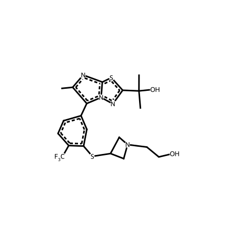 Cc1nc2sc(C(C)(C)O)nn2c1-c1ccc(C(F)(F)F)c(SC2CN(CCO)C2)c1